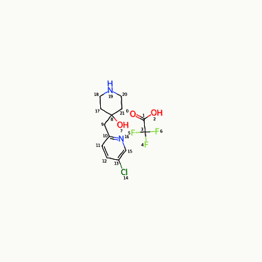 O=C(O)C(F)(F)F.OC1(Cc2ccc(Cl)cn2)CCNCC1